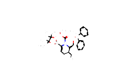 CC(C)CC1CC=C(B2OC(C)(C)C(C)(C)O2)N(C(=O)OC(C)(C)C)C1CO[Si](c1ccccc1)(c1ccccc1)C(C)(C)C